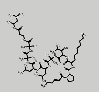 CCC/C=C/C(=O)N1CCC[C@H]1C(=O)NC(CCCCCCCC)C(=O)NC(C(=O)NC(C)(C)C(=O)NC(CC(C)C)C(=O)NC(CC(C)C)C(=O)NC(C)(C)C(=O)NC(C)(C)C(=O)NCCC(=O)NC(C)CN(C)C)C(O)C(C)C